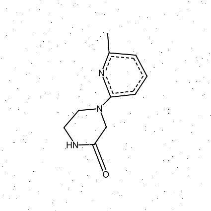 Cc1cccc(N2CCNC(=O)C2)n1